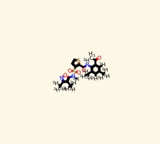 [2H]c1c(C(C)=O)c(N([2H])C(=O)c2sccc2S(=O)(=O)N([2H])c2onc(C([2H])([2H])[2H])c2C([2H])([2H])[2H])c(C([2H])([2H])[2H])c([2H])c1C([2H])([2H])[2H]